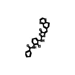 O=C1N=C(Nc2cccc(NC(=O)c3ccccc3)c2Cl)SC1=Cc1ccc2nccnc2c1